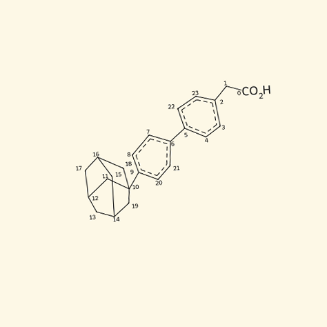 O=C(O)Cc1ccc(-c2ccc(C34CC5CC(CC(C5)C3)C4)cc2)cc1